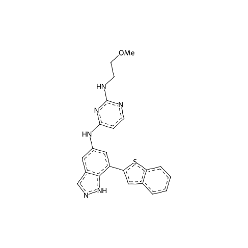 COCCNc1nccc(Nc2cc(-c3cc4ccccc4s3)c3[nH]ncc3c2)n1